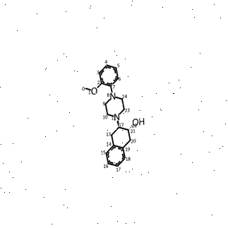 COc1ccccc1N1CCN([C@@H]2Cc3ccccc3C[C@H]2O)CC1